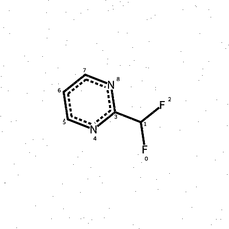 FC(F)c1n[c]ccn1